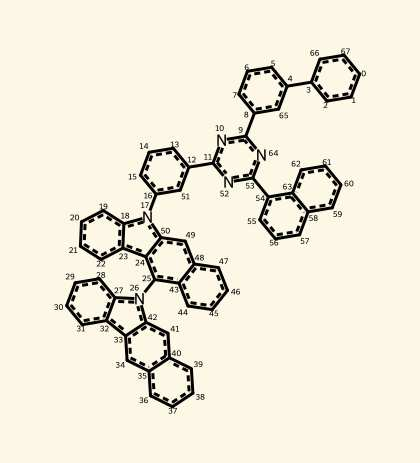 c1ccc(-c2cccc(-c3nc(-c4cccc(-n5c6ccccc6c6c(-n7c8ccccc8c8cc9ccccc9cc87)c7ccccc7cc65)c4)nc(-c4cccc5ccccc45)n3)c2)cc1